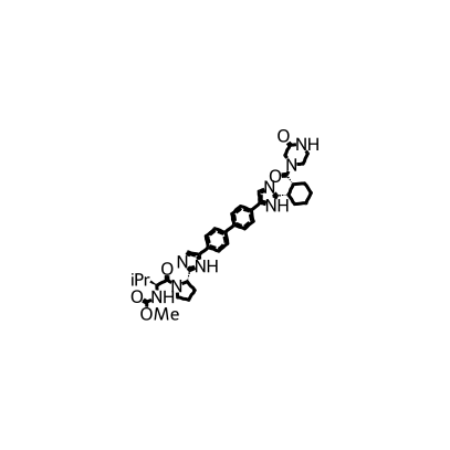 COC(=O)N[C@H](C(=O)N1CCC[C@H]1c1ncc(-c2ccc(-c3ccc(-c4cnc([C@H]5CCCC[C@H]5C(=O)N5CCNC(=O)C5)[nH]4)cc3)cc2)[nH]1)C(C)C